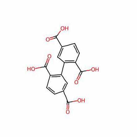 O=C(O)c1ccc(C(=O)O)c(-c2cc(C(=O)O)ccc2C(=O)O)c1